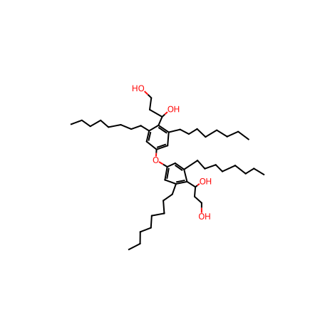 CCCCCCCCc1cc(Oc2cc(CCCCCCCC)c(C(O)CCO)c(CCCCCCCC)c2)cc(CCCCCCCC)c1C(O)CCO